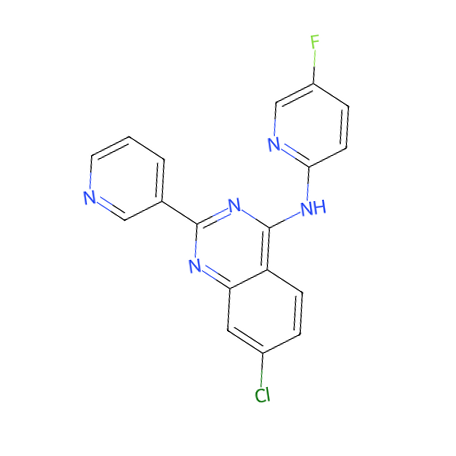 Fc1ccc(Nc2nc(-c3cccnc3)nc3cc(Cl)ccc23)nc1